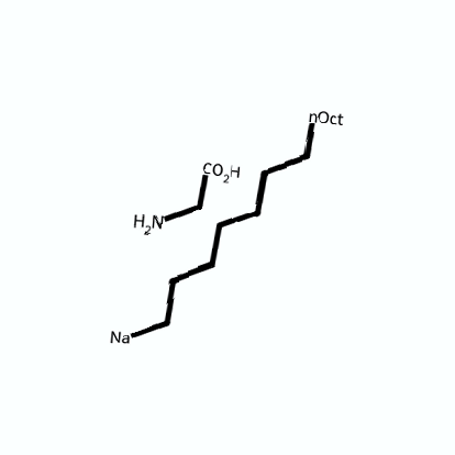 CCCCCCCCCCCCCC[CH2][Na].NCC(=O)O